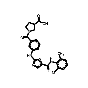 Cc1cccc(Cl)c1NC(=O)c1cnc(Nc2cccc(C(=O)N3CCC(C(=O)O)C3)c2)s1